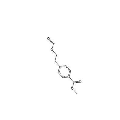 COC(=O)c1ccc(CCO[C]=O)cc1